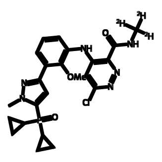 [2H]C([2H])([2H])NC(=O)c1nnc(Cl)cc1Nc1cccc(-c2cc(P(=O)(C3CC3)C3CC3)n(C)n2)c1OC